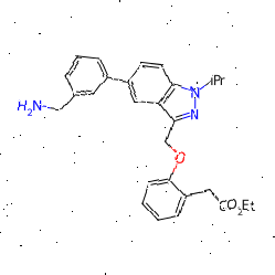 CCOC(=O)Cc1ccccc1OCc1nn(C(C)C)c2ccc(-c3cccc(CN)c3)cc12